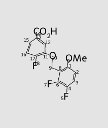 COc1ccc(F)c(F)c1COc1cc(C(=O)O)ccc1F